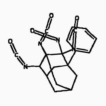 O=C=NC1C2CC3CC(c4ccccc4)(C2)C(N=C=O)(N=C=O)C1(N=C=O)C3